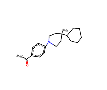 COC(=O)c1ccc(N2CCC(OC)(C3CCCCC3)CC2)cc1